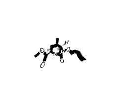 C=CCON1C(=O)N2C[C@H]1C(C)=C[C@@H]2C(=O)OC